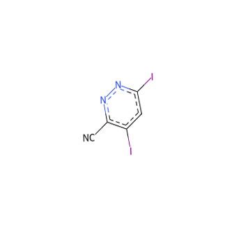 N#Cc1nnc(I)cc1I